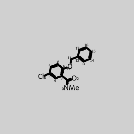 CNC(=O)c1cc(Cl)ccc1OCc1ccccc1